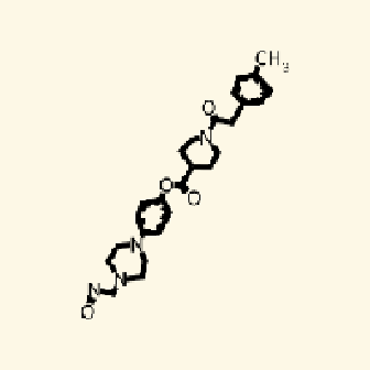 Cc1ccc(CC(=O)N2CCC(C(=O)Oc3ccc(N4CCN(CN=O)CC4)cc3)CC2)cc1